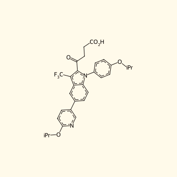 CC(C)Oc1ccc(-n2c(C(=O)CCC(=O)O)c(C(F)(F)F)c3cc(-c4ccc(OC(C)C)nc4)ccc32)cc1